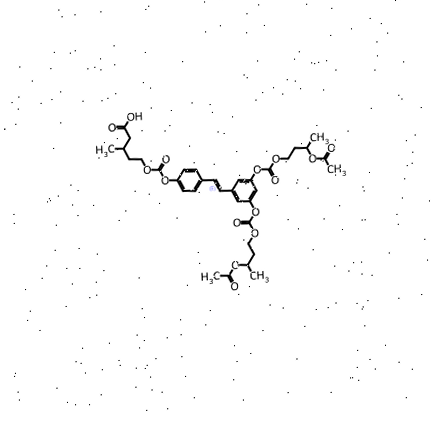 CC(=O)OC(C)CCOC(=O)Oc1cc(/C=C/c2ccc(OC(=O)OCCC(C)CC(=O)O)cc2)cc(OC(=O)OCCC(C)OC(C)=O)c1